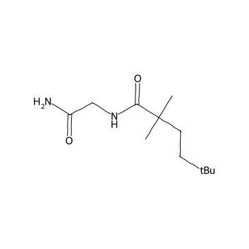 CC(C)(C)CCC(C)(C)C(=O)NCC(N)=O